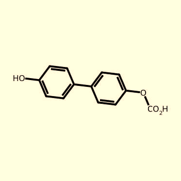 O=C(O)Oc1ccc(-c2ccc(O)cc2)cc1